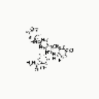 CC1(C(N)=O)CCC(n2c(Nc3c(F)cc(Cl)cc3Cl)nc3cnc(NC4CCOCC4)nc32)CC1